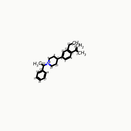 C=C(C)c1ccc(C2CCN(C(C)c3ccccc3)CC2)cc1CC